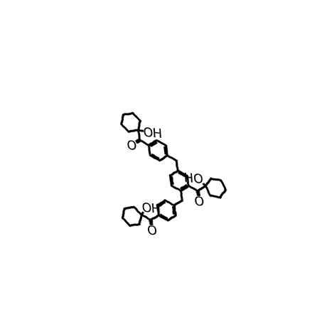 O=C(c1ccc(Cc2ccc(Cc3ccc(C(=O)C4(O)CCCCC4)cc3)c(C(=O)C3(O)CCCCC3)c2)cc1)C1(O)CCCCC1